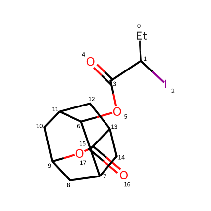 CCC(I)C(=O)OC1C2CC3CC1CC(C2)C(=O)O3